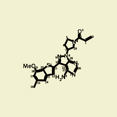 C=CC(=O)N1CCC(n2nc(-c3cc4cc(C)cc(OC)c4s3)c3c(N)ncnc32)C1